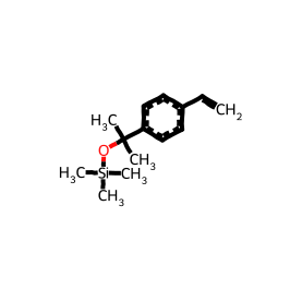 C=Cc1ccc(C(C)(C)O[Si](C)(C)C)cc1